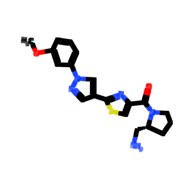 COc1cccc(-n2cc(-c3nc(C(=O)N4CCC[C@@H]4CN)cs3)cn2)c1